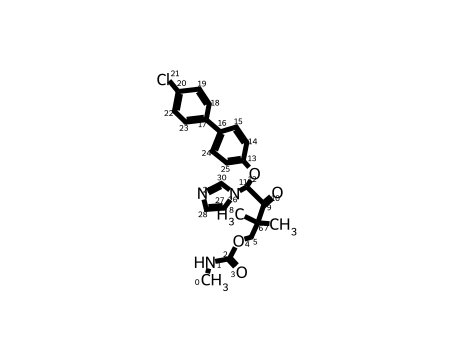 CNC(=O)OCC(C)(C)C(=O)C(Oc1ccc(-c2ccc(Cl)cc2)cc1)n1ccnc1